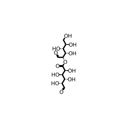 O=C[C@H](O)[C@@H](O)[C@@H](O)[C@H](O)C(=O)O[C@H](C=O)[C@@H](O)[C@H](O)[C@H](O)CO